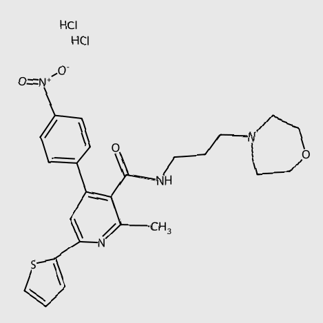 Cc1nc(-c2cccs2)cc(-c2ccc([N+](=O)[O-])cc2)c1C(=O)NCCCN1CCOCC1.Cl.Cl